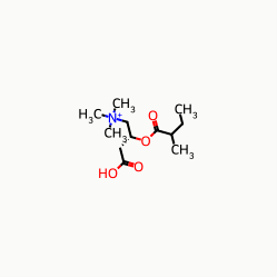 CCC(C)C(=O)O[C@H](CC(=O)O)C[N+](C)(C)C